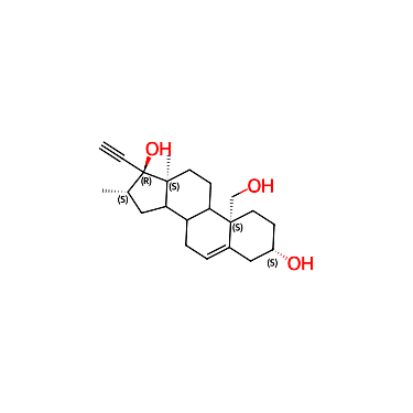 C#C[C@@]1(O)[C@@H](C)CC2C3CC=C4C[C@@H](O)CC[C@]4(CO)C3CC[C@@]21C